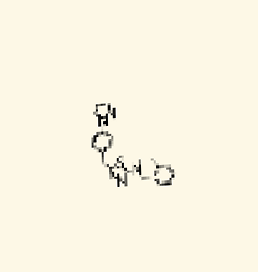 c1ccc2c(c1)CCN(c1ncc(Cc3ccc(-n4cccn4)cc3)s1)C2